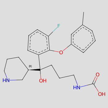 Cc1cccc(Oc2c(F)cccc2C(O)(CCCNC(=O)O)[C@@H]2CCCNC2)c1